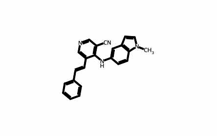 Cn1ccc2cc(Nc3c(C#N)cncc3C=Cc3ccccc3)ccc21